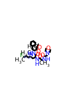 C=N/C(=C\C=C(/C)F)CC(NC(=O)C(C)NC(=O)CN1CCOCC1)C(=O)NC(Cc1ccccc1)C(=O)[C@@]1(C)CO1